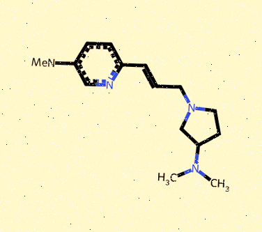 CNc1ccc(/C=C/CN2CCC(N(C)C)C2)nc1